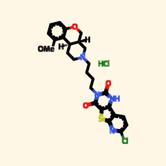 COc1cccc2c1[C@@H]1CCN(CCCCn3c(=O)[nH]c4c(sc5nc(Cl)ccc54)c3=O)C[C@H]1CO2.Cl